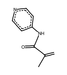 C=C(C)C(=O)Nc1ccncc1